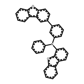 c1ccc(N(c2cccc(-c3ccc4oc5ccccc5c4c3)c2)c2cccc3c2oc2ccccc23)cc1